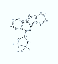 CC1(C)OB(c2cc3c4ccccc4oc3c3ccccc23)OC1(C)C